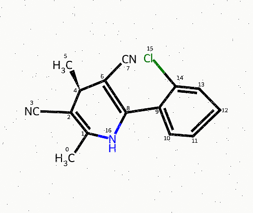 CC1=C(C#N)[C@@H](C)C(C#N)=C(c2ccccc2Cl)N1